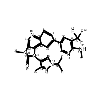 CNc1ncc(-c2ccc3ncc4c(c3c2)n(-c2cn(C(C)C)nc2C)c(=O)n4C)cc1C(F)(F)F